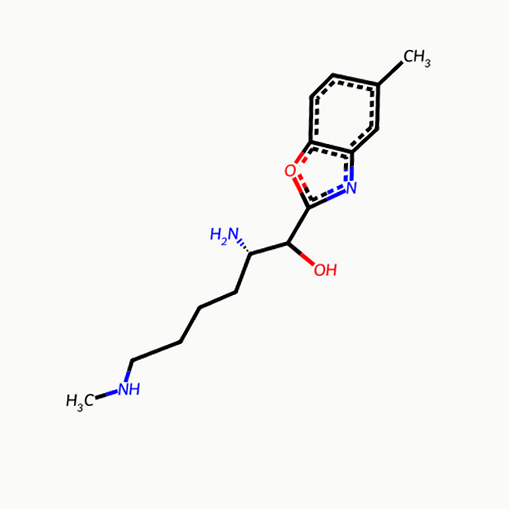 CNCCCC[C@H](N)C(O)c1nc2cc(C)ccc2o1